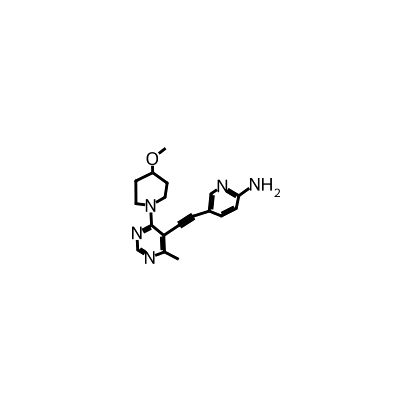 COC1CCN(c2ncnc(C)c2C#Cc2ccc(N)nc2)CC1